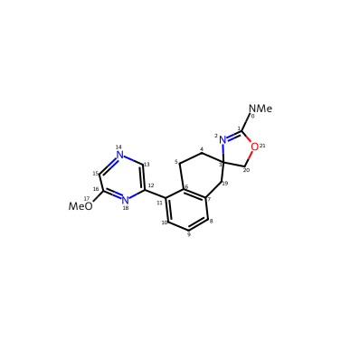 CNC1=NC2(CCc3c(cccc3-c3cncc(OC)n3)C2)CO1